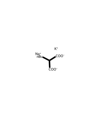 CCCCC(C(=O)[O-])C(=O)[O-].[K+].[Na+]